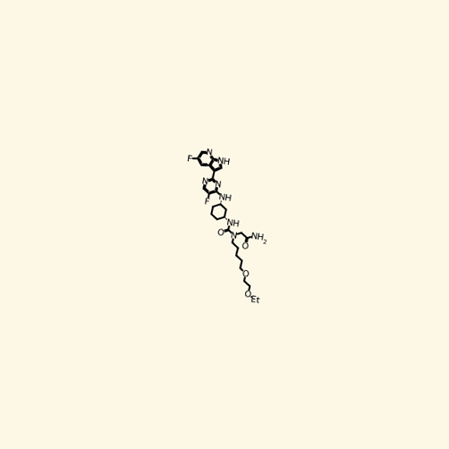 CCOCCOCCCCCN(CC(N)=O)C(=O)N[C@@H]1CCC[C@H](Nc2nc(-c3c[nH]c4ncc(F)cc34)ncc2F)C1